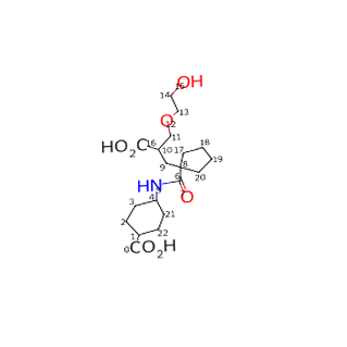 O=C(O)C1CCC(NC(=O)C2(CC(COCCO)C(=O)O)CCCC2)CC1